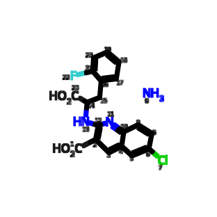 N.O=C(O)c1cc2cc(Cl)ccc2nc1NC(Cc1ccccc1F)C(=O)O